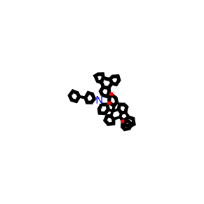 c1ccc(-c2ccc(N(c3cccc(C4(c5ccccc5)c5ccccc5C5(c6ccccc6)c6ccccc6-c6cccc4c65)c3)c3ccc4c5ccccc5c5ccccc5c4c3)cc2)cc1